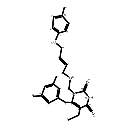 CCc1c(Cc2cc(C)cc(C)c2)n(COCC=CCOc2ccc(C)cc2)c(=O)[nH]c1=O